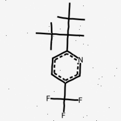 CC(C)(C)C(C)(c1ccc(C(F)(F)F)cn1)C(C)(C)C